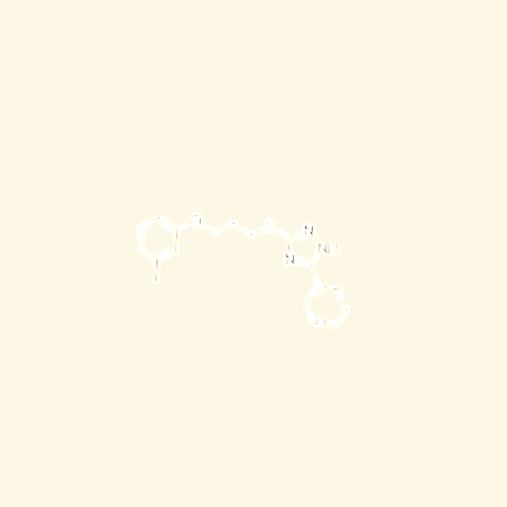 Cc1cccc(OCCCSc2n[nH]c(-c3ccccc3)n2)c1